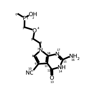 CP(O)COCCn1cc(C#N)c2c(=O)[nH]c(N)nc21